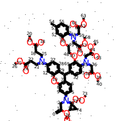 C=C(CN(c1ccc2c(c1)Oc1cc(N(CCC(=O)OC)CCC(=O)OC)ccc1C2c1ccc(N(CC(=O)OC)CC(=O)OC)c(OCCOc2cc(C)ccc2N(CC(=O)OC)CC(=O)OC)c1)C1(OOC)CC1)OOC